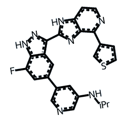 CC(C)Nc1cncc(-c2cc(F)c3[nH]nc(-c4nc5c(-c6ccsc6)nccc5[nH]4)c3c2)c1